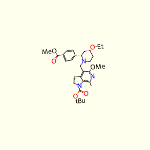 CCO[C@H]1CCN(Cc2c(OC)nc(C)c3c2ccn3C(=O)OC(C)(C)C)[C@H](c2ccc(C(=O)OC)cc2)C1